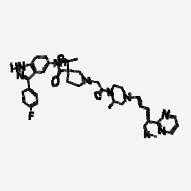 C\N=C/C(=C\C=C\N1CCN(C(=O)CN2CCC(C(C)=O)(C(=O)Nc3ccc4[nH]nc(-c5ccc(F)cc5)c4c3)C2)[C@H](C)C1)c1ncccn1